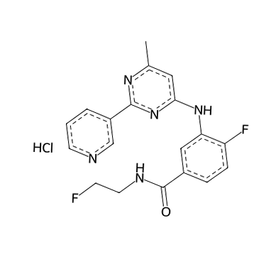 Cc1cc(Nc2cc(C(=O)NCCF)ccc2F)nc(-c2cccnc2)n1.Cl